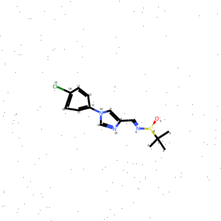 CC(C)(C)[S@+]([O-])/N=C/c1cn(-c2ccc(Cl)cc2)cn1